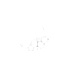 C[C@]12CC[C@H]3[C@@H](CCC4C[C@H](O)[C@@H](OCC(F)(F)F)C[C@@]43C)C1CC[C@@H]2C#N